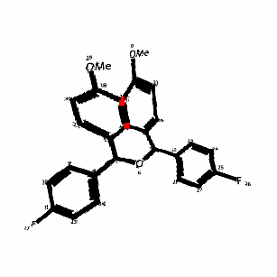 COc1ccc(C(OC(c2ccc(F)cc2)c2ccc(OC)cc2)c2ccc(F)cc2)cc1